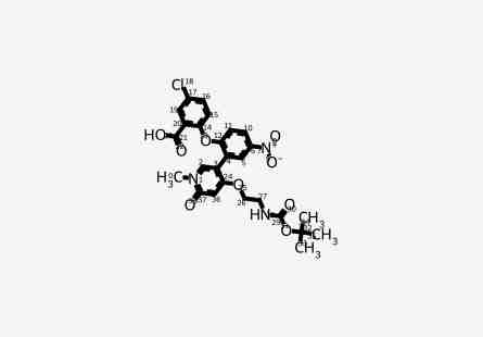 Cn1cc(-c2cc([N+](=O)[O-])ccc2Oc2ccc(Cl)cc2C(=O)O)c(OCCNC(=O)OC(C)(C)C)cc1=O